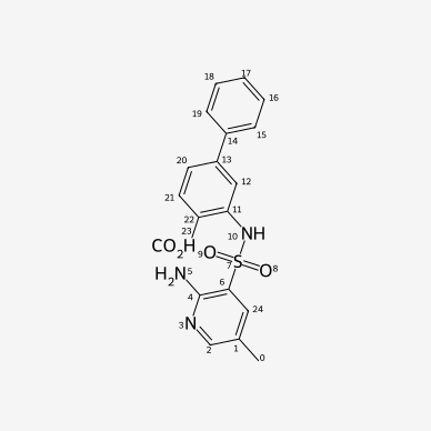 Cc1cnc(N)c(S(=O)(=O)Nc2cc(-c3ccccc3)ccc2C(=O)O)c1